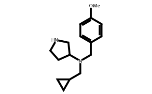 COc1ccc(CN(CC2CC2)C2CCNC2)cc1